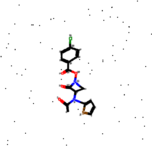 CC(=O)N(c1cccs1)C1CN(OC(=O)c2ccc(Cl)cc2)C1=O